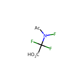 CC(=O)N(F)C(F)(F)C(=O)O